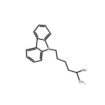 CC(S)CCCCn1c2ccccc2c2ccccc21